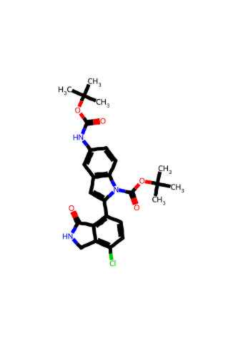 CC(C)(C)OC(=O)Nc1ccc2c(c1)cc(-c1ccc(Cl)c3c1C(=O)NC3)n2C(=O)OC(C)(C)C